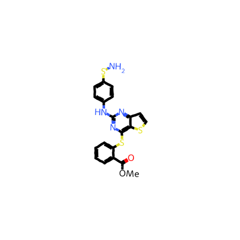 COC(=O)c1ccccc1Sc1nc(Nc2ccc(SN)cc2)nc2ccsc12